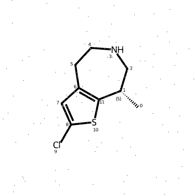 C[C@H]1CNCCc2cc(Cl)sc21